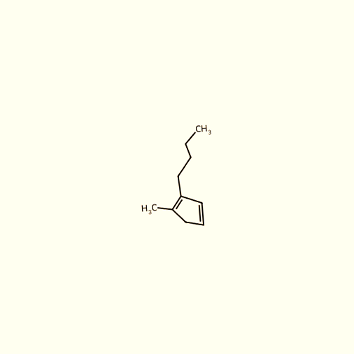 CCCCC1=C(C)CC=C1